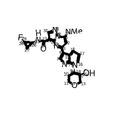 CNc1cc(-c2cnc3n([C@H]4CCOC[C@@H]4O)cccc2-3)nc2c(C(=O)N[C@@H]3C[C@@H]3F)cnn12